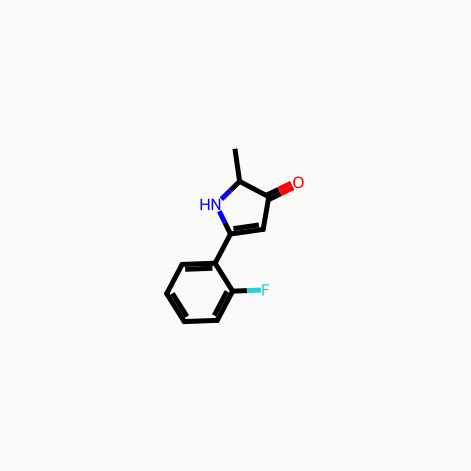 CC1NC(c2ccccc2F)=CC1=O